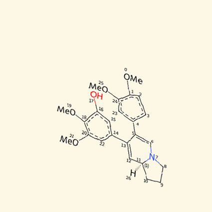 COc1ccc(C2=CN3CCC[C@H]3C=C2c2cc(O)c(OC)c(OC)c2)cc1OC